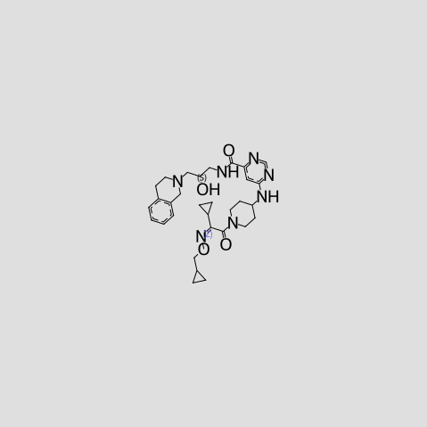 O=C(NC[C@H](O)CN1CCc2ccccc2C1)c1cc(NC2CCN(C(=O)/C(=N\OCC3CC3)C3CC3)CC2)ncn1